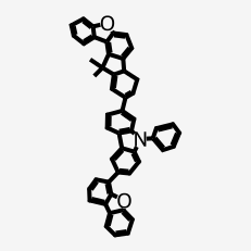 CC1(C)C2=CC(c3ccc4c5cc(-c6cccc7c6oc6ccccc67)ccc5n(-c5ccccc5)c4c3)=CCC2c2ccc3oc4ccccc4c3c21